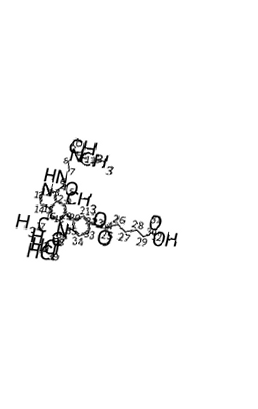 Cc1c2c(C(=O)NCCN(C)C)nccc2c(C)c2c1c1cc(OC(=O)CCCCC(=O)O)ccc1n2C.Cl.Cl